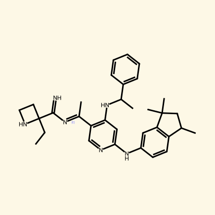 CCC1(C(=N)/N=C(\C)c2cnc(Nc3ccc4c(c3)C(C)(C)CC4C)cc2NC(C)c2ccccc2)CCN1